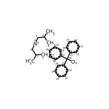 CC(C)[CH2][Al+][CH2]C(C)C.[O-]C(c1ccccc1)(c1ccccc1)c1ccccc1